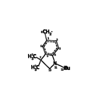 [CH2]c1ccc2c(c1)C(C)(C)CN2C(C)CC